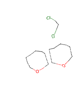 C1CCOCC1.C1CCOCC1.ClCCl